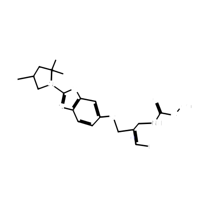 CC1CN(c2nc3ccc(OC/C(=C/F)CNC(=O)OC(C)(C)C)cc3o2)C(C)(C)C1